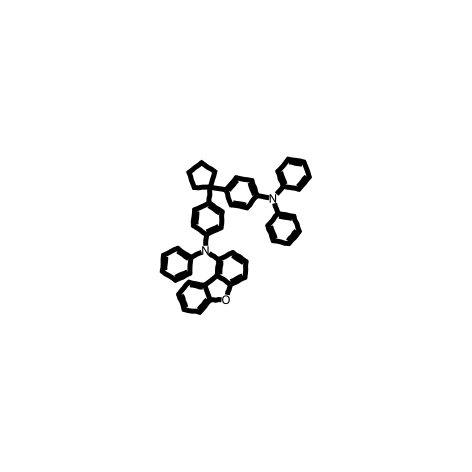 c1ccc(N(c2ccccc2)c2ccc(C3(c4ccc(N(c5ccccc5)c5cccc6oc7ccccc7c56)cc4)CCCC3)cc2)cc1